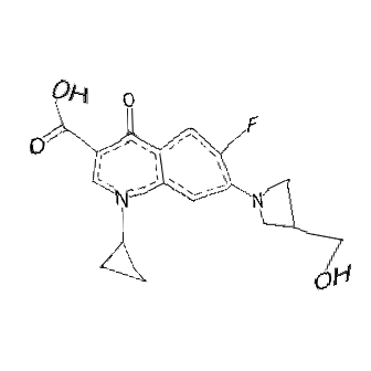 O=C(O)c1cn(C2CC2)c2cc(N3CC(CO)C3)c(F)cc2c1=O